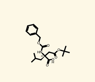 CC(C)C[C@](CC(=O)OC(C)(C)C)(NC(=O)OCc1ccccc1)C(=O)O